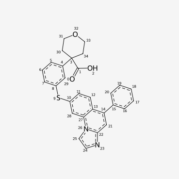 O=C(O)C1(c2cccc(Sc3ccc4c(-c5ccccc5)cc5nccn5c4c3)c2)CCOCC1